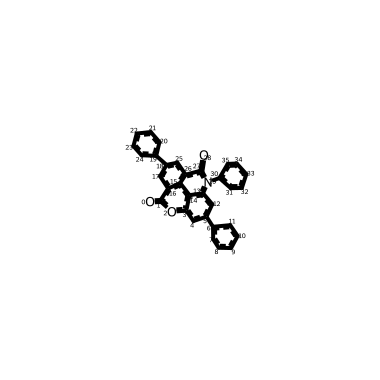 O=c1oc2cc(-c3ccccc3)cc3c2c2c1cc(-c1ccccc1)cc2c(=O)n3-c1ccccc1